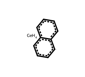 [GeH4].[c]1cccc2ccccc12